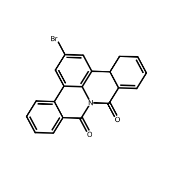 O=C1C2=CC=CCC2c2cc(Br)cc3c4ccccc4c(=O)n1c23